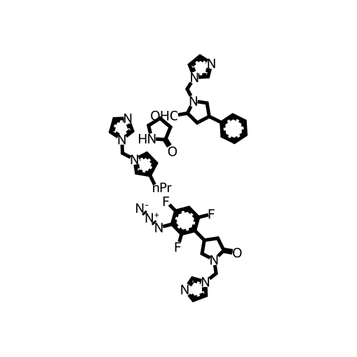 CCCc1ccn(Cn2ccnc2)c1.O=C1CCCN1.O=CC1CC(c2ccccc2)CN1Cn1ccnc1.[N-]=[N+]=Nc1c(F)cc(F)c(C2CC(=O)N(Cn3ccnc3)C2)c1F